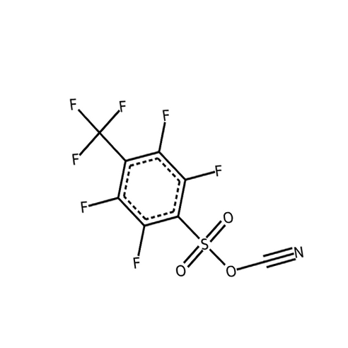 N#COS(=O)(=O)c1c(F)c(F)c(C(F)(F)F)c(F)c1F